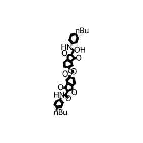 CCCCc1ccc(NC(=O)C2C(=O)c3ccc(S(=O)(=O)c4ccc5c(c4)C(=O)C(C(O)Nc4ccc(CCCC)cc4)C5=O)cc3C2=O)cc1